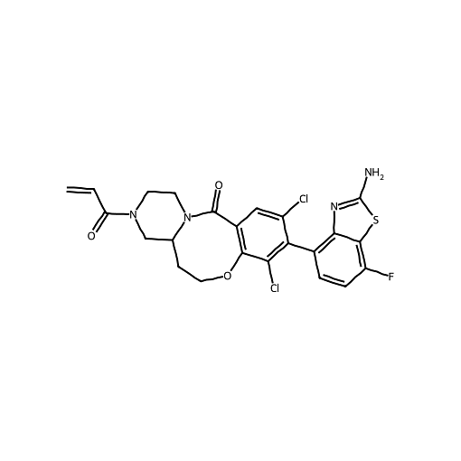 C=CC(=O)N1CCN2C(=O)c3cc(Cl)c(-c4ccc(F)c5sc(N)nc45)c(Cl)c3OCCC2C1